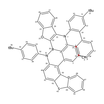 Cc1cc2c3c(c1)N(c1ccc(C(C)(C)C)cc1-c1ccccc1)c1c(oc4ccccc14)B3N(c1ccc(C(C)(C)C)cc1)c1ccc3sc4ccccc4c3c1-2